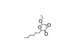 CCCCCCC1OC(OCC)C2OC2C1=O